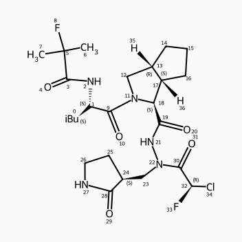 CC[C@H](C)[C@H](NC(=O)C(C)(C)F)C(=O)N1C[C@@H]2CCC[C@@H]2[C@H]1C(=O)NN(C[C@@H]1CCNC1=O)C(=O)[C@H](F)Cl